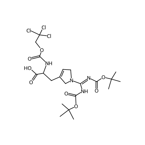 CC(C)(C)OC(=O)N=C(NC(=O)OC(C)(C)C)N1CC=C(CC(NC(=O)OCC(Cl)(Cl)Cl)C(=O)O)C1